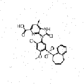 COc1cc(Cl)c(-n2c(=O)[nH]c3c(C)cc(C(=O)O)nc32)cc1S(=O)(=O)C1CCCCc2ccccc21